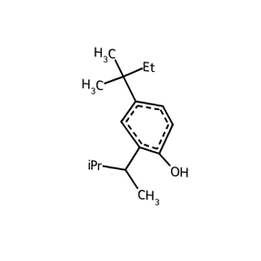 CCC(C)(C)c1ccc(O)c(C(C)C(C)C)c1